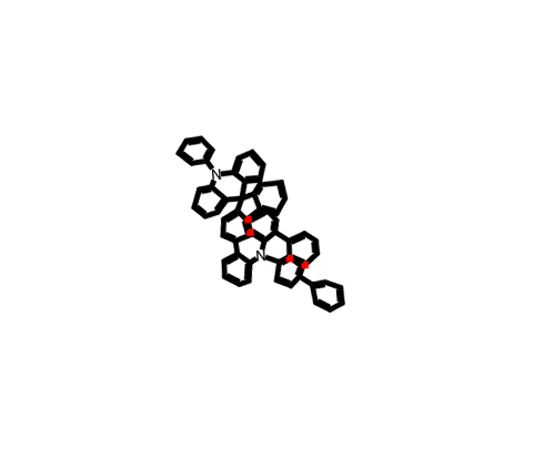 c1ccc(-c2ccc(N(c3ccccc3-c3ccccc3)c3ccccc3-c3ccc4c(c3)-c3ccccc3C43c4ccccc4N(c4ccccc4)c4ccccc43)cc2)cc1